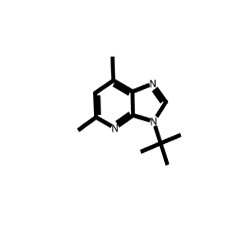 Cc1cc(C)c2ncn(C(C)(C)C)c2n1